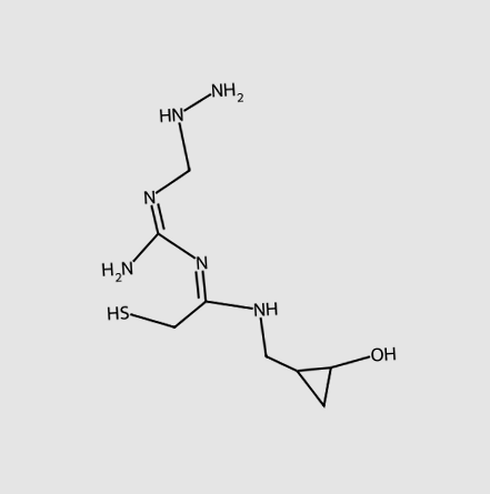 NNC/N=C(N)\N=C(/CS)NCC1CC1O